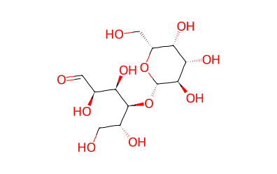 O=C[C@H](O)[C@@H](O)[C@@H](O[C@@H]1O[C@H](CO)[C@H](O)[C@H](O)[C@H]1O)[C@H](O)CO